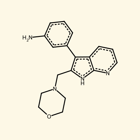 Nc1cccc(-c2c(CN3CCOCC3)[nH]c3ncccc23)c1